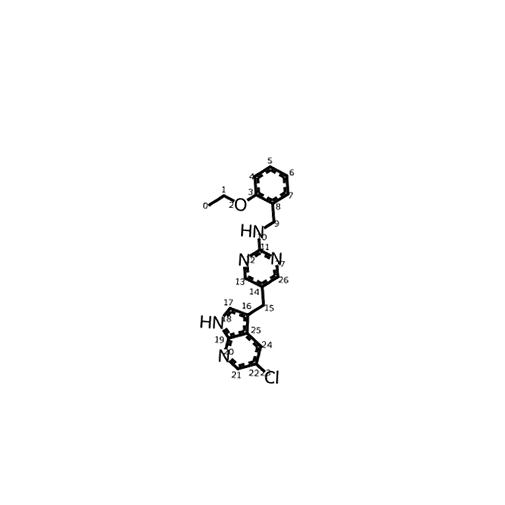 CCOc1ccccc1CNc1ncc(Cc2c[nH]c3ncc(Cl)cc23)cn1